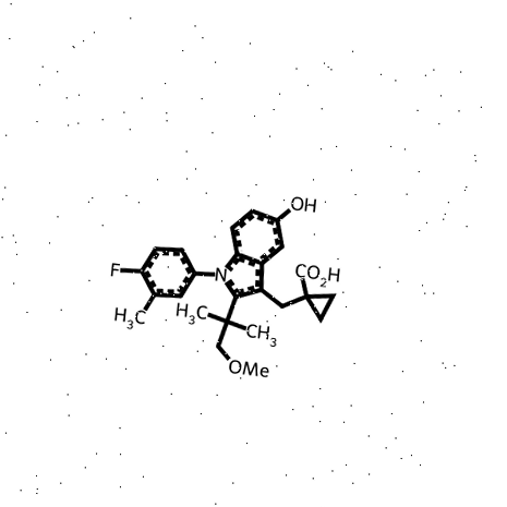 COCC(C)(C)c1c(CC2(C(=O)O)CC2)c2cc(O)ccc2n1-c1ccc(F)c(C)c1